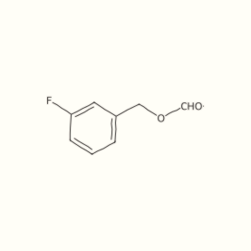 O=[C]OCc1cccc(F)c1